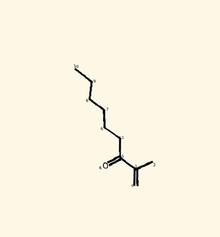 C=C(C)C(=O)[CH]CCCCC